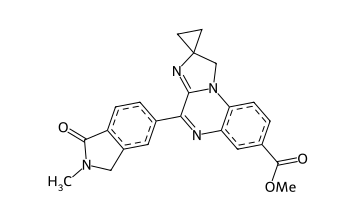 COC(=O)c1ccc2c(c1)N=C(c1ccc3c(c1)CN(C)C3=O)C1=NC3(CC3)CN12